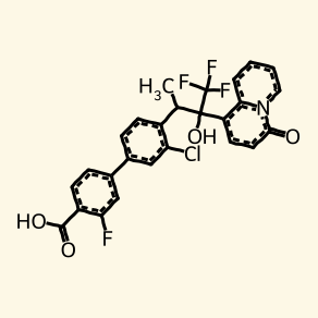 CC(c1ccc(-c2ccc(C(=O)O)c(F)c2)cc1Cl)C(O)(c1ccc(=O)n2ccccc12)C(F)(F)F